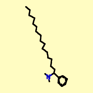 CCCCCCCCCCCCCCCCC(c1ccccc1)N(C)C